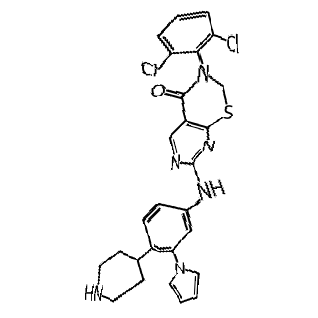 O=C1c2cnc(Nc3ccc(C4CCNCC4)c(-n4cccc4)c3)nc2SCN1c1c(Cl)cccc1Cl